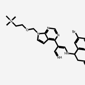 C=CCC(N/C=C(\C=N)c1ncnc2c1ccn2COCC[Si](C)(C)C)c1cccc(Br)c1